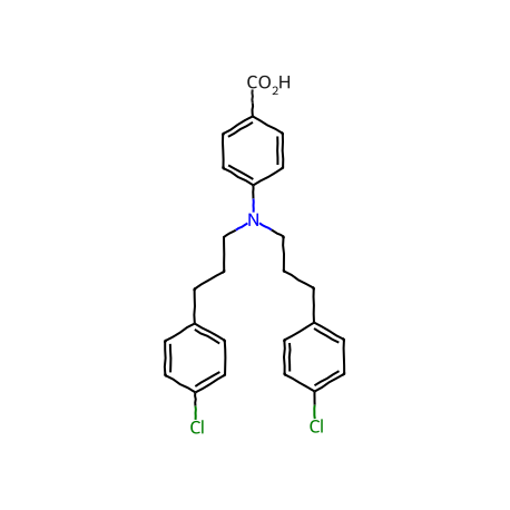 O=C(O)c1ccc(N(CCCc2ccc(Cl)cc2)CCCc2ccc(Cl)cc2)cc1